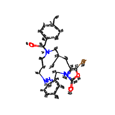 Cc1ccc(C(=O)N(CCCN)CC(C)Cc2c(Br)oc(=O)n2Cc2ccccc2)cc1